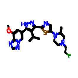 COc1cc(-c2[nH]nc(-c3ncc(N4CCN(CCF)CC4C)s3)c2C(C)C)cn2ncnc12